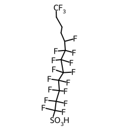 O=S(=O)(O)C(F)(F)C(F)(F)C(F)(F)C(F)(F)C(F)(F)C(F)(F)C(F)(F)C(F)CCCC(F)(F)F